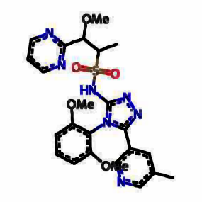 COc1cccc(OC)c1-n1c(NS(=O)(=O)C(C)C(OC)c2ncccn2)nnc1-c1cncc(C)c1